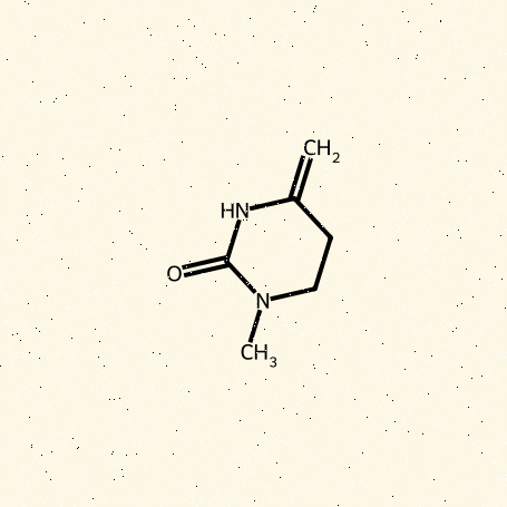 C=C1CCN(C)C(=O)N1